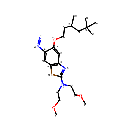 COCCN(CCOC)c1nc2cc(OCCC(C)CC(C)(C)C)c(N=N)cc2s1